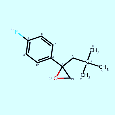 C[Si](C)(C)CC1(c2ccc(F)cc2)CO1